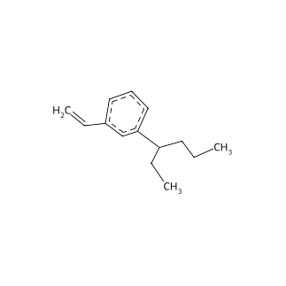 C=Cc1cccc(C(CC)CCC)c1